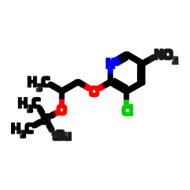 CC(COc1ncc([N+](=O)[O-])cc1Cl)O[Si](C)(C)C(C)(C)C